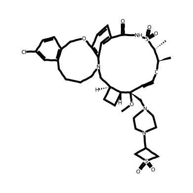 CO[C@@]1(CN2CCN(C3CS(=O)(=O)C3)CC2)/C=C/C[C@H](C)[C@@H](C)S(=O)(=O)NC(=O)c2ccc3c(c2)N(CCCCc2cc(Cl)ccc2CO3)C[C@@H]2CC[C@H]21